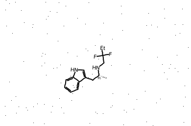 CCC(F)(F)CN[C@H](C)Cc1c[nH]c2ccccc12